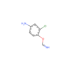 N=COc1ccc(N)cc1Cl